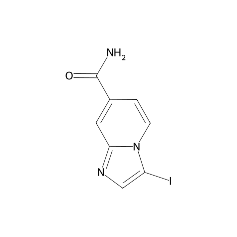 NC(=O)c1ccn2c(I)cnc2c1